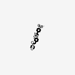 O=C(Cc1ccc2c(c1)sc1nc(-c3ccc([N+](=O)[O-])cc3)cn12)N1CCOCC1